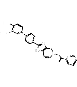 Cc1ccc(-c2ccc(-c3nc4c([nH]3)C=CN(CC(=O)c3ccccn3)C4)cc2)cc1C